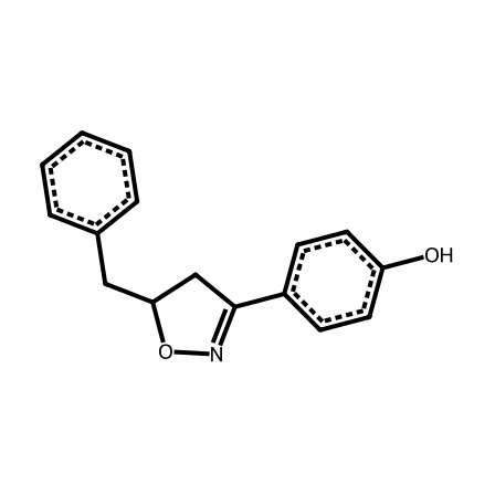 Oc1ccc(C2=NOC(Cc3ccccc3)C2)cc1